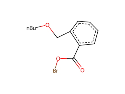 CCCCOCc1ccccc1C(=O)OBr